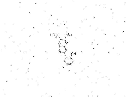 CCCCC(=O)C(Cc1ccc(-c2ccccc2C#N)cc1)C(=O)O